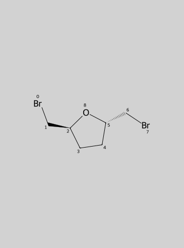 BrC[C@@H]1CC[C@@H](CBr)O1